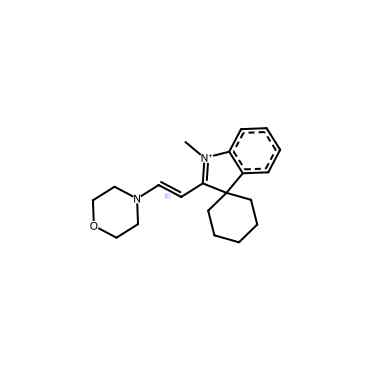 C[N+]1=C(/C=C/N2CCOCC2)C2(CCCCC2)c2ccccc21